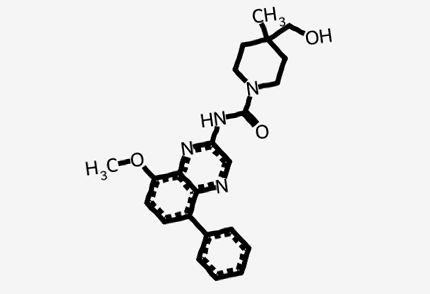 COc1ccc(-c2ccccc2)c2ncc(NC(=O)N3CCC(C)(CO)CC3)nc12